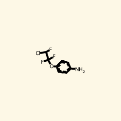 Nc1ccc(OC(F)(F)C(F)Cl)cc1